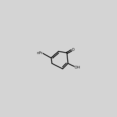 CCCC1=CC(=O)C(O)=CC1